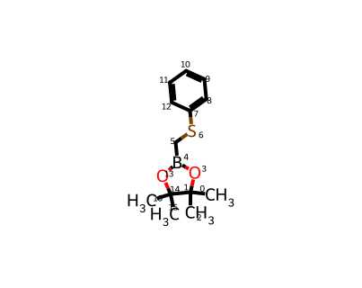 CC1(C)OB(CSc2ccccc2)OC1(C)C